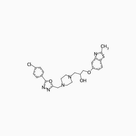 Cc1nc2cc(OCC(O)CN3CCN(Cc4nnc(-c5ccc(Cl)cc5)o4)CC3)ccc2s1